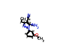 CCc1nn(-c2cccc(OC)c2)c(N)c1C#N